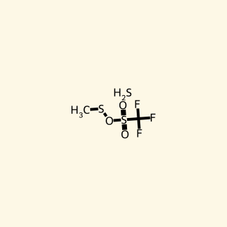 CSOS(=O)(=O)C(F)(F)F.S